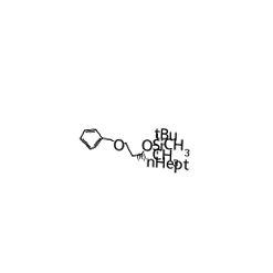 CCCCCCC[C@H](CCOCc1ccccc1)O[Si](C)(C)C(C)(C)C